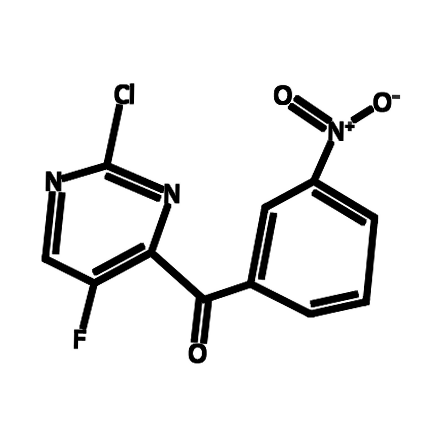 O=C(c1cccc([N+](=O)[O-])c1)c1nc(Cl)ncc1F